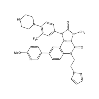 COc1ccc(-c2ccc3c(c2)c2c(c(=O)n3CCn3cccc3)n(C)c(=O)n2-c2ccc(N3CCNCC3)c(C(F)(F)F)c2)cn1